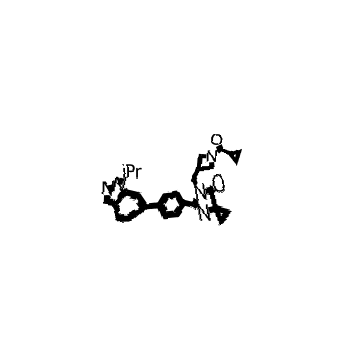 CC(C)n1ncc2ccc(-c3ccc(C4=NC5(CC5)C(=O)N4CC4CN(C(=O)C5CC5)C4)cc3)cc21